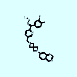 CCO/N=C(\c1ccc(F)c(F)c1)c1ccc(CN2CC3(C2)CN(c2ccc4cncnc4c2)C3)cn1